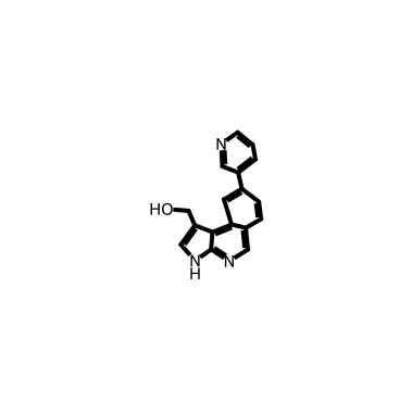 OCc1c[nH]c2ncc3ccc(-c4cccnc4)cc3c12